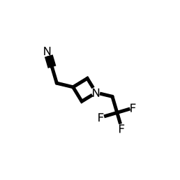 N#CCC1CN(CC(F)(F)F)C1